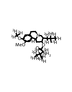 [2H]C([2H])([2H])Oc1cc2c(cc1OC)C1([2H])CC(OC(=O)[C@@]([2H])(N)C([2H])(C([2H])([2H])[2H])C([2H])([2H])[2H])C(C([2H])([2H])C([2H])(C)C([2H])([2H])[2H])CN1CC2